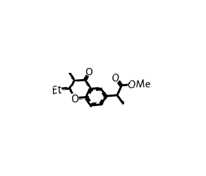 CCC1Oc2ccc(C(C)C(=O)OC)cc2C(=O)C1C